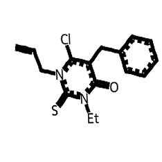 C=CCn1c(Cl)c(Cc2ccccc2)c(=O)n(CC)c1=S